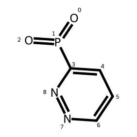 O=P(=O)c1cccnn1